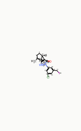 CC1(C)[C@@H]2CC[C@@]1(C)c1[nH]n(-c3cc(Cl)cc(CI)c3)c(=O)c12